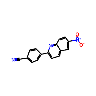 N#Cc1ccc(-c2ccc3cc([N+](=O)[O-])ccc3n2)cc1